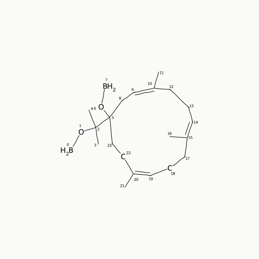 BOC(C)(C)C1(OB)C/C=C(/C)CC/C=C(\C)CC/C=C(/C)CC1